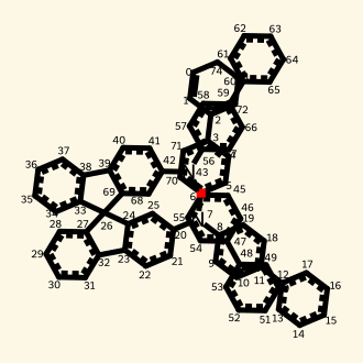 C1=CC(c2ccc(N(c3ccc(-c4ccccc4)cc3)c3ccc4c(c3)C3(c5ccccc5-4)c4ccccc4-c4ccc(N(c5ccc(-c6ccccc6)cc5)c5ccc(-c6ccccc6)cc5)cc43)cc2)=CCC1